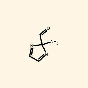 NC1(C=O)N=CC=N1